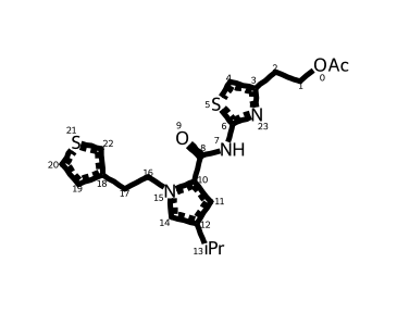 CC(=O)OCCc1csc(NC(=O)c2cc(C(C)C)cn2CCc2ccsc2)n1